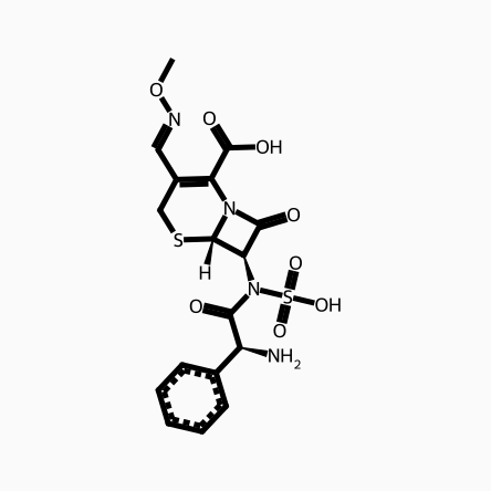 CON=CC1=C(C(=O)O)N2C(=O)[C@@H](N(C(=O)[C@@H](N)c3ccccc3)S(=O)(=O)O)[C@@H]2SC1